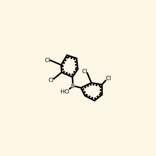 OB(c1cccc(Cl)c1Cl)c1cccc(Cl)c1Cl